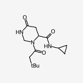 CC(C)(C)CC(=O)N1CNC(=O)CC1C(=O)NC1CC1